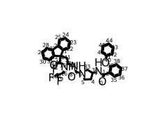 O=C(NC1CCN(C(=O)NCCC2(C(=O)NCC(F)(F)F)c3ccccc3-c3ccccc32)C1)c1ccccc1Oc1ccccc1